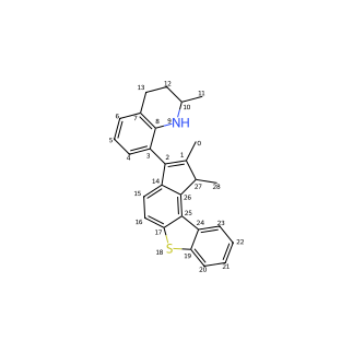 CC1=C(c2cccc3c2NC(C)CC3)c2ccc3sc4ccccc4c3c2C1C